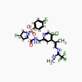 C=N/C(=N\C=C(/C)c1cc(CNC(=O)[C@@H]2C[C@@H](F)CN2S(=O)(=O)c2ccc(F)cc2)ncc1Cl)C(F)(F)F